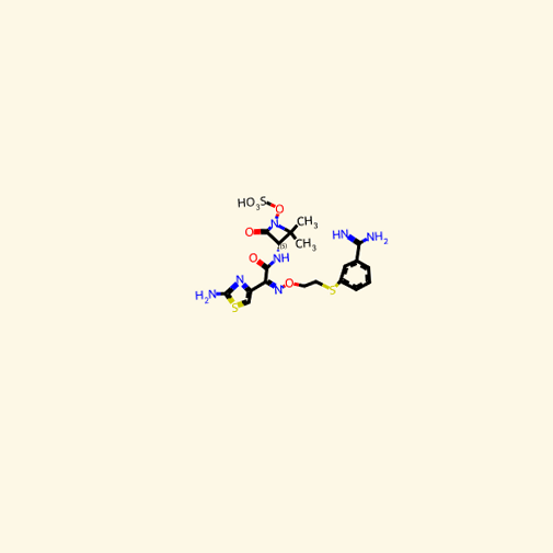 CC1(C)[C@H](NC(=O)C(=NOCCSc2cccc(C(=N)N)c2)c2csc(N)n2)C(=O)N1OS(=O)(=O)O